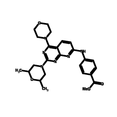 COC(=O)c1ccc(Nc2ccc3c(N4CCOCC4)nc(N4CC(C)OC(C)C4)nc3n2)cc1